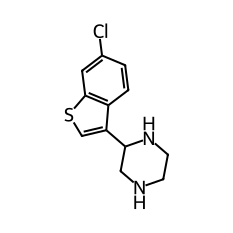 Clc1ccc2c(C3CNCCN3)csc2c1